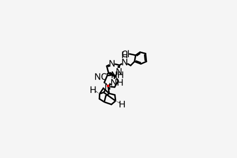 N#Cc1cnc(NCc2ccccc2Cl)nc1NCC12CC3C[C@H](C1)C(N1CCNCC1)[C@@H](C3)C2